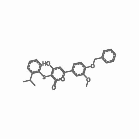 COc1cc(-c2cc(O)c(Sc3ccccc3C(C)C)c(=O)o2)ccc1OCc1ccccc1